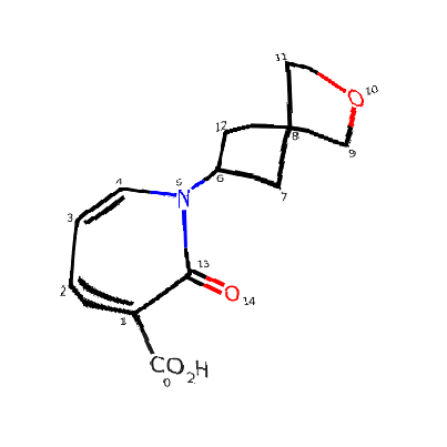 O=C(O)c1cccn(C2CC3(COC3)C2)c1=O